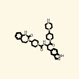 O=C(NC(Cc1ccc2[nH]ncc2c1)C(=O)N1CCC(N2CCNCC2)CC1)N1CCC(N2CCc3ccccc3NC2=O)CC1